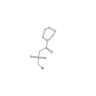 O=C(CS(=O)(=O)CBr)c1ccccc1